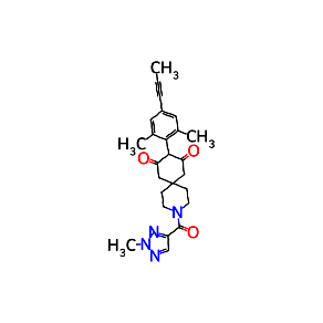 CC#Cc1cc(C)c(C2C(=O)CC3(CCN(C(=O)c4cnn(C)n4)CC3)CC2=O)c(C)c1